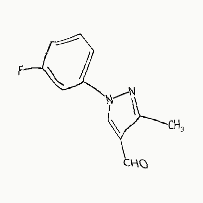 Cc1nn(-c2cccc(F)c2)cc1C=O